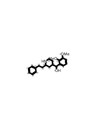 COc1cccc(C(O)C2CCNC(CCc3ccccc3)C2)c1OC